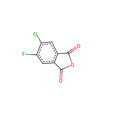 O=C1OC(=O)c2cc(Cl)c(F)cc21